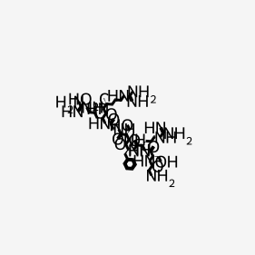 N=C(N)NCCC[C@H](NC(=O)[C@H](CCCNC(=N)N)NC(=O)CNC(=O)[C@H](CO)NC(=O)[C@H](Cc1ccccc1)NC(=O)[C@H](CCCNC(=N)N)NC(=O)[C@H](CO)NC(=O)CN)C(=O)O